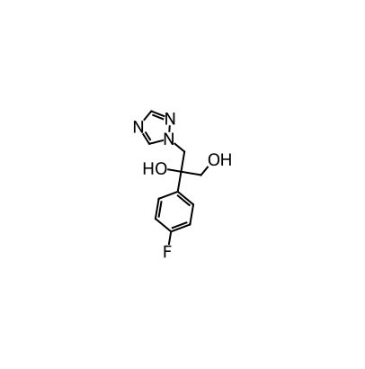 OCC(O)(Cn1cncn1)c1ccc(F)cc1